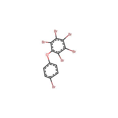 Brc1ccc(Oc2c(Br)c(Br)c(Br)c(Br)c2Br)cc1